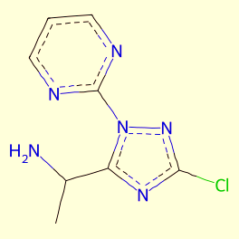 CC(N)c1nc(Cl)nn1-c1ncccn1